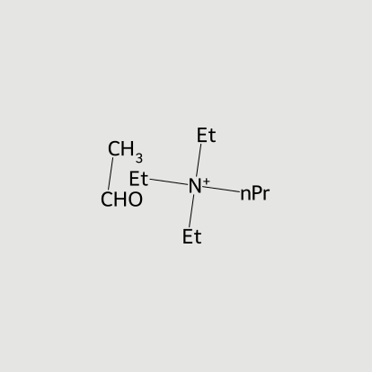 CC=O.CCC[N+](CC)(CC)CC